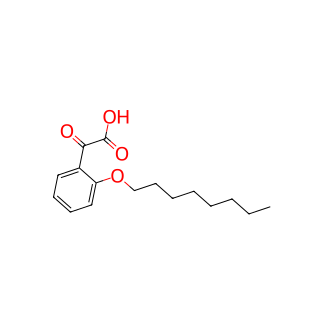 CCCCCCCCOc1ccccc1C(=O)C(=O)O